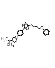 CN(C)C1CCN(c2ccc(-c3nnc(CCCCOc4ccccc4)o3)cc2)C1